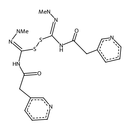 CN/N=C(/NC(=O)Cc1cccnc1)SS/C(=N\NC)NC(=O)Cc1cccnc1